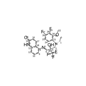 CC[C@H](C[C@@](O)(C=Nc1cccc2[nH]c(=O)ccc12)C(F)(F)F)c1ccc(F)c(F)c1OC